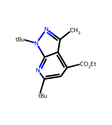 CCOC(=O)c1cc(C(C)(C)C)nc2c1c(C)nn2C(C)(C)C